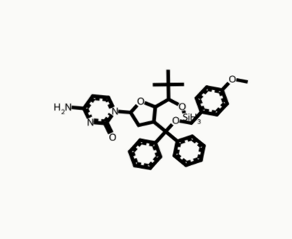 COc1ccc(COC(c2ccccc2)(c2ccccc2)C2CC(n3ccc(N)nc3=O)OC2C(O[SiH3])C(C)(C)C)cc1